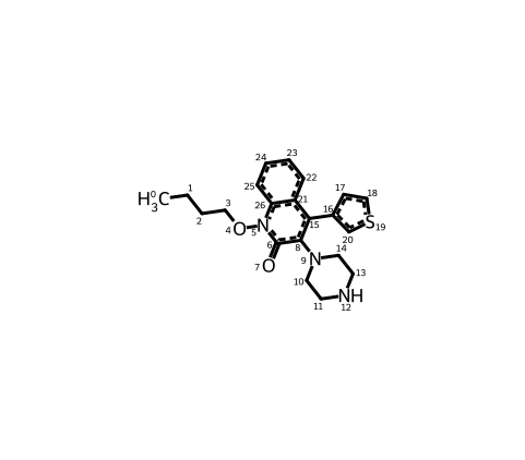 CCCCOn1c(=O)c(N2CCNCC2)c(-c2ccsc2)c2ccccc21